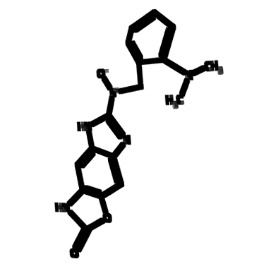 CN(C)c1ccccc1C[S+]([O-])c1nc2cc3oc(=O)[nH]c3cc2[nH]1